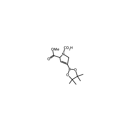 COC(=O)C1C=C(B2OC(C)(C)C(C)(C)O2)CN1C(=O)O